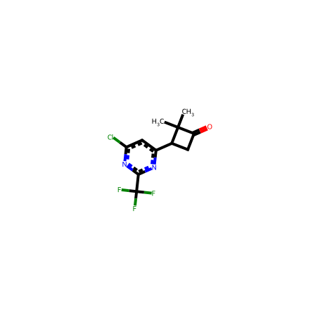 CC1(C)C(=O)CC1c1cc(Cl)nc(C(F)(F)F)n1